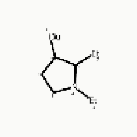 CCC(C)C1CCN(CC)C1CC